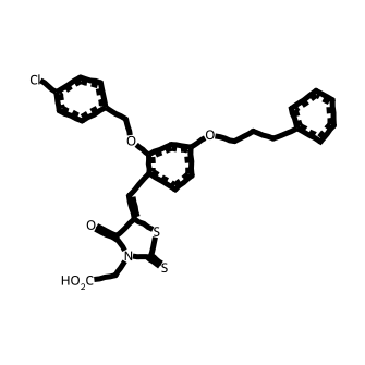 O=C(O)CN1C(=O)/C(=C/c2ccc(OCCCc3ccccc3)cc2OCc2ccc(Cl)cc2)SC1=S